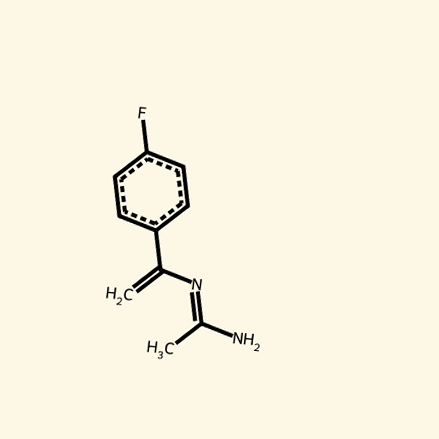 C=C(/N=C(\C)N)c1ccc(F)cc1